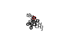 CC1C=C2C3B(c4sc5c(c4N(c4ccccc4-c4ccc(C(C)(C)C)cc4)C3C1C)C=CCC5)c1sc3ccccc3c1N2c1ccccc1